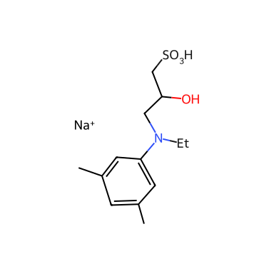 CCN(CC(O)CS(=O)(=O)O)c1cc(C)cc(C)c1.[Na+]